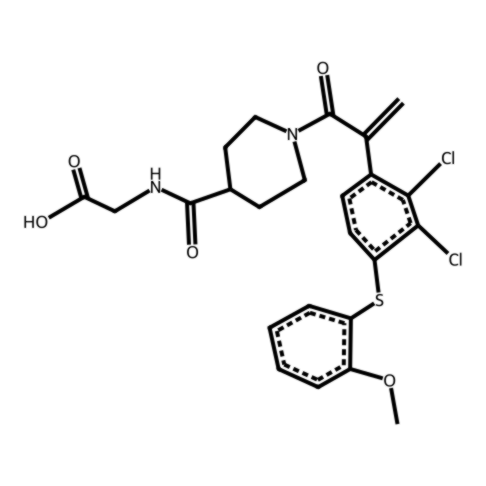 C=C(C(=O)N1CCC(C(=O)NCC(=O)O)CC1)c1ccc(Sc2ccccc2OC)c(Cl)c1Cl